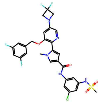 Cn1cc(C(=O)Nc2cc(Cl)cc(NS(C)(=O)=O)c2)cc1-c1ncc(N2CC(F)(F)C2)cc1OCc1cc(F)cc(F)c1